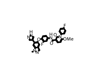 COc1ccc(C(=O)Nc2ccc(Oc3cc4cnn(C)c4cc3-c3cn[nH]c3)c(F)c2)c(=O)n1-c1ccc(F)cc1